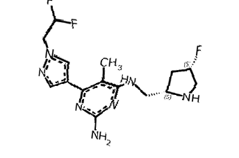 Cc1c(NC[C@@H]2C[C@H](F)CN2)nc(N)nc1-c1cnn(CC(F)F)c1